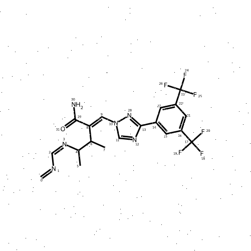 C=N/C=N\C(C)C(C)/C(=C\n1cnc(-c2cc(C(F)(F)F)cc(C(F)(F)F)c2)n1)C(N)=O